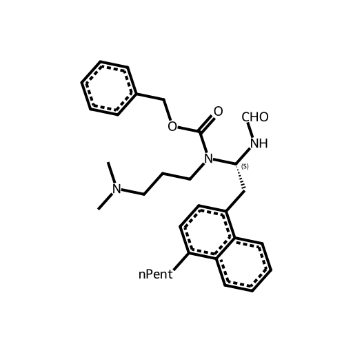 CCCCCc1ccc(C[C@@H](NC=O)N(CCCN(C)C)C(=O)OCc2ccccc2)c2ccccc12